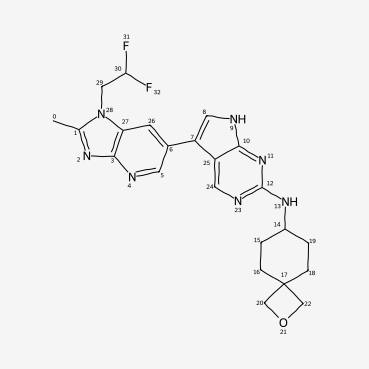 Cc1nc2ncc(-c3c[nH]c4nc(NC5CCC6(CC5)COC6)ncc34)cc2n1CC(F)F